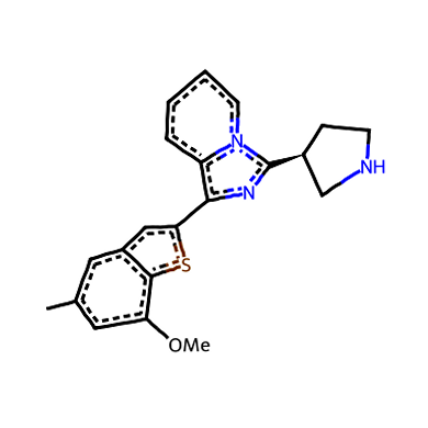 COc1cc(C)cc2cc(-c3nc([C@H]4CCNC4)n4ccccc34)sc12